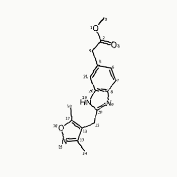 COC(=O)Cc1ccc2nc(Cc3c(C)noc3C)[nH]c2c1